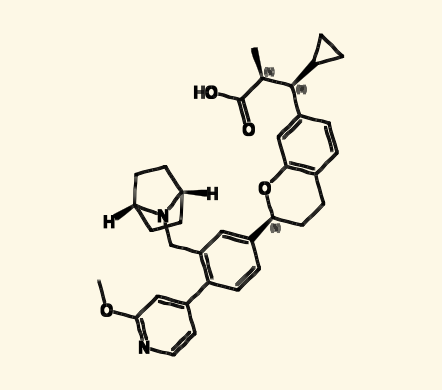 COc1cc(-c2ccc([C@@H]3CCc4ccc([C@H](C5CC5)[C@H](C)C(=O)O)cc4O3)cc2CN2[C@H]3CC[C@@H]2CC3)ccn1